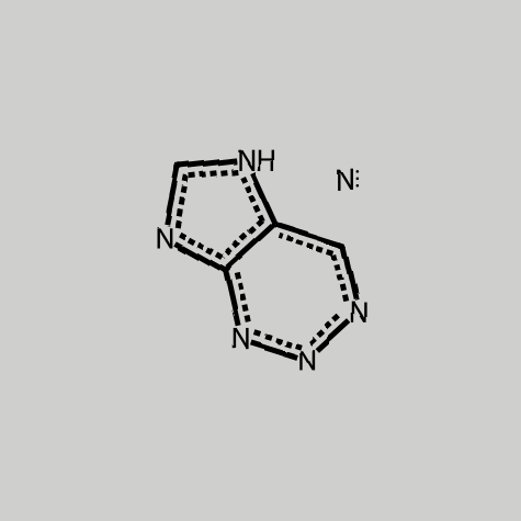 [N].c1nc2nnncc2[nH]1